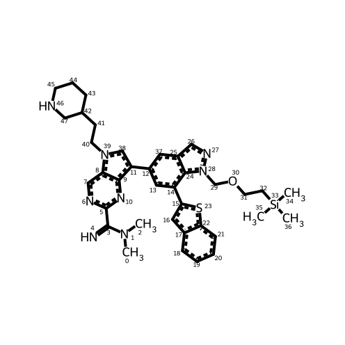 CN(C)C(=N)c1ncc2c(n1)c(-c1cc(-c3cc4ccccc4s3)c3c(cnn3COCC[Si](C)(C)C)c1)cn2CCC1CCCNC1